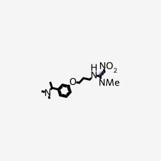 CN/C(=C/[N+](=O)[O-])NCCCOc1cccc(C(C)N(C)C)c1